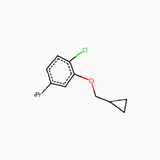 CC(C)c1ccc(Cl)c(OCC2CC2)c1